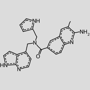 Cc1cc2cc(C(=O)N(Cc3ccc[nH]3)Cc3ccnc4[nH]ccc34)ccc2nc1N